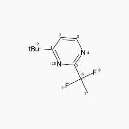 CC(C)(C)c1ccnc(C(C)(F)F)n1